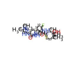 C=C1/C=C(/C(=O)Nc2c(F)ccc(C3=NNC(=O)C(Nc4cc(C)n(C)n4)=CC3)c2C)SCCCC(C)(C)C1O